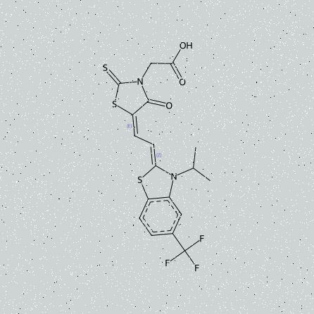 CC(C)N1/C(=C/C=C2/SC(=S)N(CC(=O)O)C2=O)Sc2ccc(C(F)(F)F)cc21